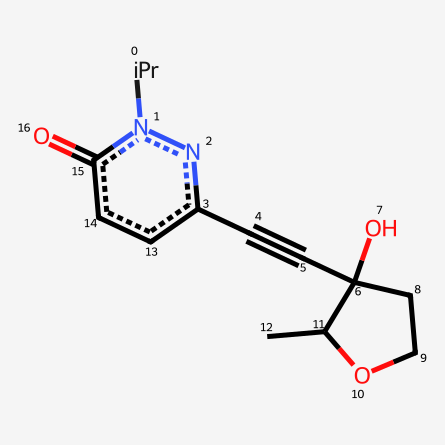 CC(C)n1nc(C#CC2(O)CCOC2C)ccc1=O